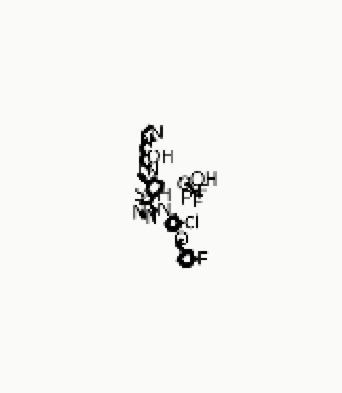 O=C(O)C(F)(F)F.O[C@H](Cn1ccnc1)Cn1cc2c(n1)CCc1c-2sc2ncnc(Nc3ccc(OCc4cccc(F)c4)c(Cl)c3)c12